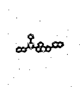 c1ccc(-c2nc(-c3ccc4ccccc4c3)nc(-c3ccc4c5c(cccc35)-c3cc(-c5ccc6ccccc6c5)ccc3O4)n2)cc1